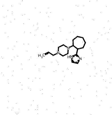 C=CCN1CCN(C2CCCCCC2c2ncc[nH]2)CC1